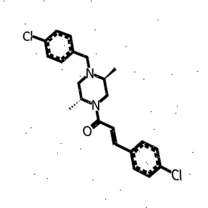 C[C@@H]1CN(Cc2ccc(Cl)cc2)[C@@H](C)CN1C(=O)/C=C/c1ccc(Cl)cc1